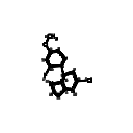 COc1ccc(-c2cc(Cl)nc3ccnn23)c(F)c1